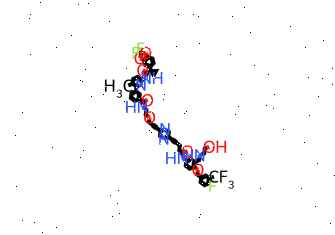 Cc1ccc(NC(=O)C2(c3ccc4c(c3)OC(F)(F)O4)CC2)nc1-c1cccc(C(=O)NCCOCC#Cc2cnc(C#CCCC(=O)Nc3ccc(OCc4ccc(F)c(C(F)(F)F)c4)c(CNCCO)c3)cn2)c1